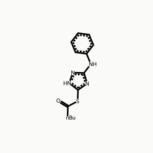 CCCCC(=O)Sc1nc(Nc2ccccc2)n[nH]1